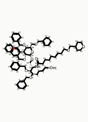 CCCCCCCCCCCCCC[C@@H](OCc1ccccc1)[C@@H](OCc1ccccc1)[C@H](CO[C@H]1O[C@H](COCc2ccccc2)[C@H](OCc2ccccc2)[C@H](OCc2ccccc2)[C@H]1OCc1ccccc1)NC(=O)CCCCCCCCOCC1CCOCC1